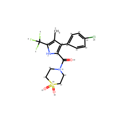 Cc1c(C(F)(F)F)[nH]c(C(=O)N2CCS(=O)(=O)CC2)c1-c1ccc(Cl)cc1